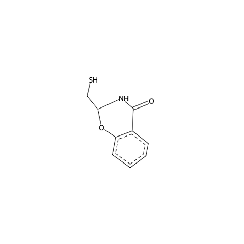 O=C1NC(CS)Oc2ccccc21